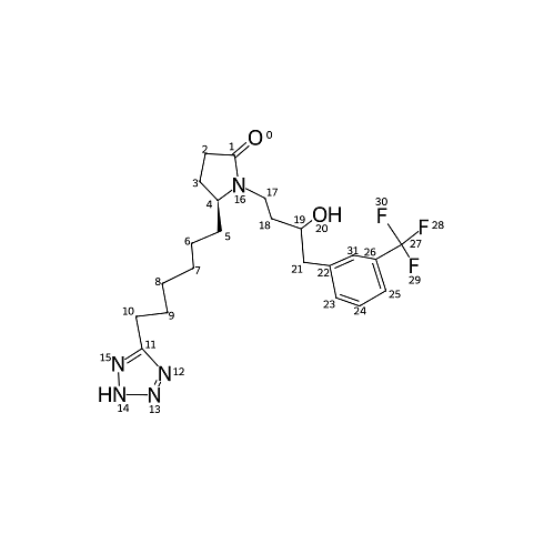 O=C1CC[C@H](CCCCCCc2nn[nH]n2)N1CCC(O)Cc1cccc(C(F)(F)F)c1